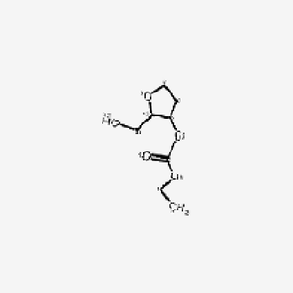 CCOC(=O)OC1CCOC1CO